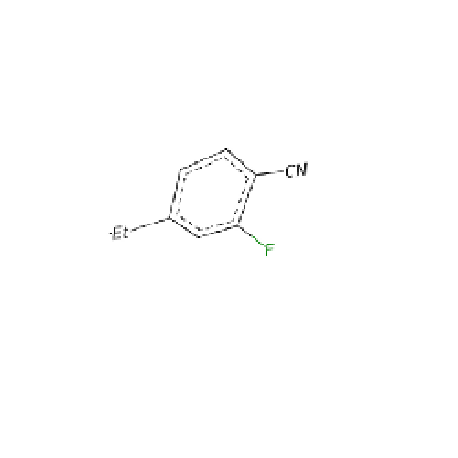 C[CH]c1ccc(C#N)c(F)c1